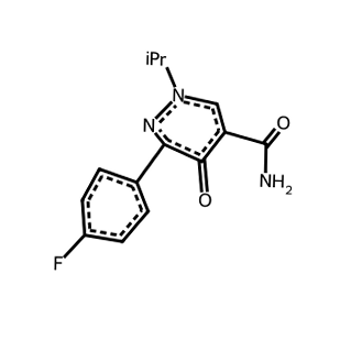 CC(C)n1cc(C(N)=O)c(=O)c(-c2ccc(F)cc2)n1